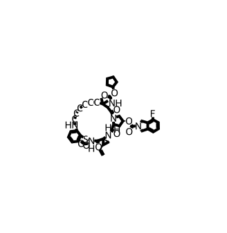 C=C[C@@H]1C[C@@]12NC(=O)[C@@H]1C[C@@H](OC(=O)N3Cc4cccc(F)c4C3)CN1C(=O)[C@@H](NC(=O)OC1CCCC1)C(C)(C)CCCCCCNc1ccccc1S(=O)(=O)NC2=O